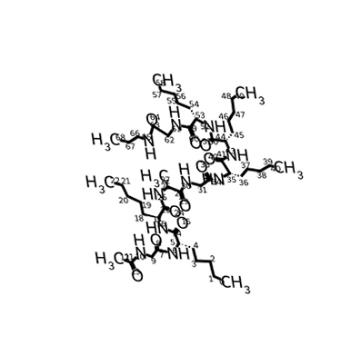 CCCCC[C@H](NC(=O)CNC(C)=O)C(=O)N[C@@H](CCCCC)C(=O)N[C@@H](C)C(=O)NCC(=O)N[C@@H](CCCCC)C(=O)N[C@@H](CCCCC)C(=O)N[C@@H](CCCCC)C(=O)NCC(=O)NCCC